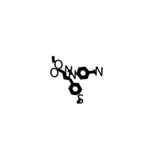 CCOC(=O)c1cc(-c2ccc(SC)cc2)n(-c2ccc(C#N)cc2)n1